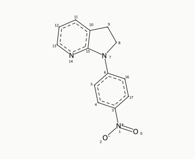 O=[N+]([O-])c1ccc(N2CCc3cccnc32)cc1